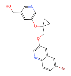 OCc1cncc(OC2(COc3cnc4ccc(Br)cc4c3)CC2)c1